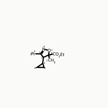 CCOC(=O)C1(C)ON=C(C(C)C)C1C1CC1